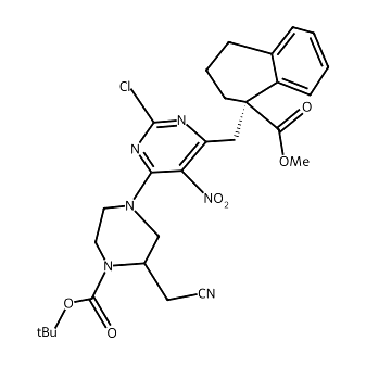 COC(=O)[C@@]1(Cc2nc(Cl)nc(N3CCN(C(=O)OC(C)(C)C)C(CC#N)C3)c2[N+](=O)[O-])CCCc2ccccc21